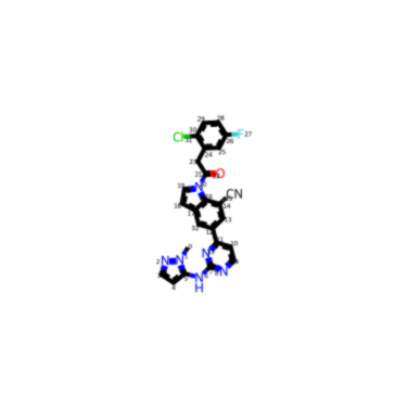 Cn1nccc1Nc1nccc(-c2cc(C#N)c3c(ccn3C(=O)Cc3cc(F)ccc3Cl)c2)n1